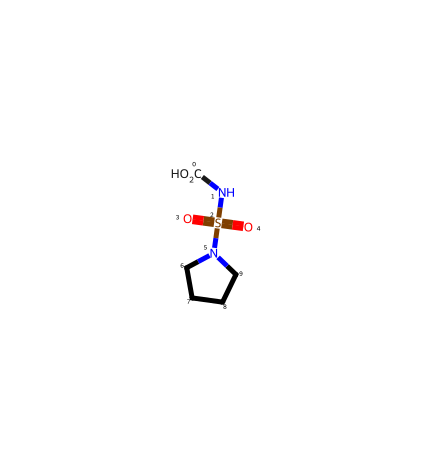 O=C(O)NS(=O)(=O)N1CCCC1